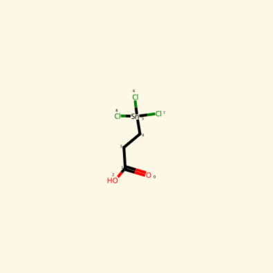 O=C(O)C[CH2][Sn]([Cl])([Cl])[Cl]